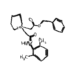 Cc1cccc(C)c1NC(=O)C[PH]1(CC(=O)OCc2ccccc2)CCCCC1